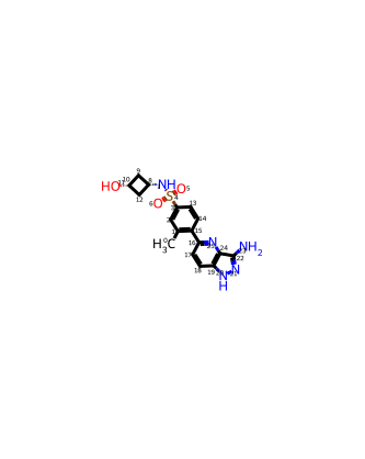 Cc1cc(S(=O)(=O)N[C@H]2C[C@@H](O)C2)ccc1-c1ccc2[nH]nc(N)c2n1